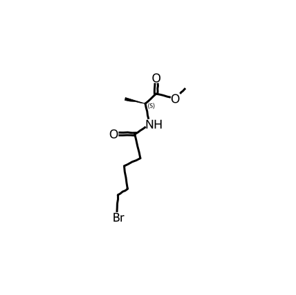 COC(=O)[C@H](C)NC(=O)CCCCBr